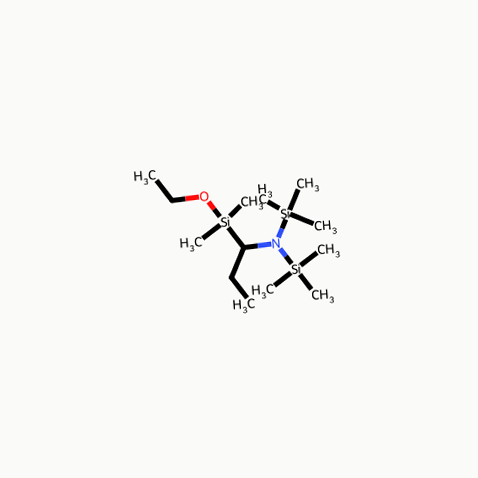 CCO[Si](C)(C)C(CC)N([Si](C)(C)C)[Si](C)(C)C